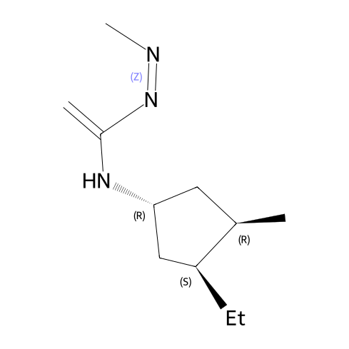 C=C(/N=N\C)N[C@H]1C[C@H](CC)[C@H](C)C1